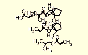 C=C(C)C(=O)OC1CC2CCC1(C)C2(C)C.C=CC(=O)O.C=CC(=O)OC1CC2CCC1(C)C2(C)C.C=CC(=O)OCC(C)C